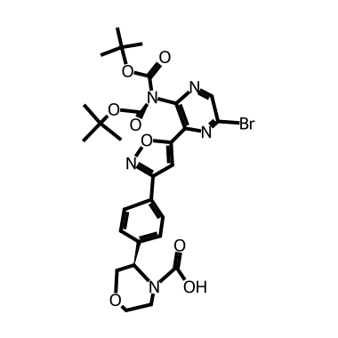 CC(C)(C)OC(=O)N(C(=O)OC(C)(C)C)c1ncc(Br)nc1-c1cc(-c2ccc([C@@H]3COCCN3C(=O)O)cc2)no1